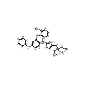 Cc1ncccc1Oc1cc(Sc2ccccn2)cnc1Nc1nc(CC(C)(CO)CO)cs1